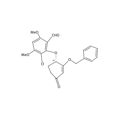 COc1cc(OC)c(C=O)c(O[C@H]2CCC(=O)C=C2OCc2ccccc2)c1Cl